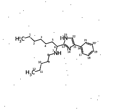 CCCCCCC(NCCCCC)c1nc(-c2ccccc2)c[nH]1